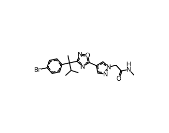 CNC(=O)Cn1cc(-c2nc(C(C)(c3ccc(Br)cc3)C(C)C)no2)cn1